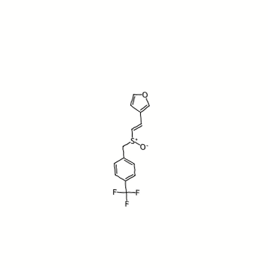 [O-][S+](C=Cc1ccoc1)Cc1ccc(C(F)(F)F)cc1